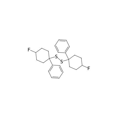 FC1CCC(SSC2(c3ccccc3)CCC(F)CC2)(c2ccccc2)CC1